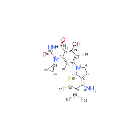 Cc1c(N2CCC(C(N)C(C(F)F)C(F)F)C2)c(F)c(O)c2c(=O)[nH]c(=O)n(C3CC3)c12